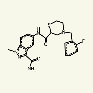 Cn1nc(C(N)=O)c2cc(NC(=O)C3CN(Cc4ccccc4F)CCS3)ccc21